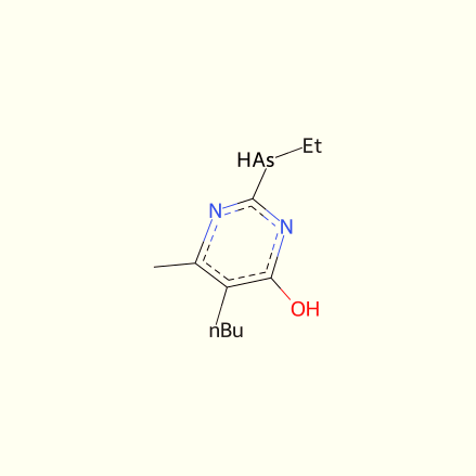 CCCCc1c(C)nc([AsH]CC)nc1O